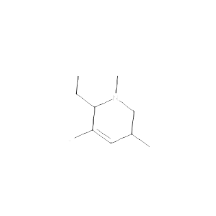 CC1C=C(Br)C(CO)N(C)C1